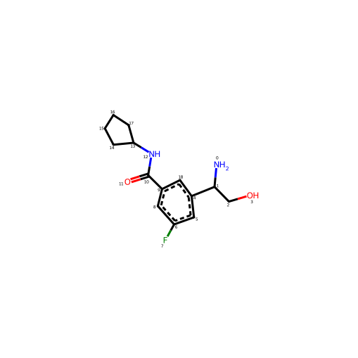 NC(CO)c1cc(F)cc(C(=O)NC2CCCC2)c1